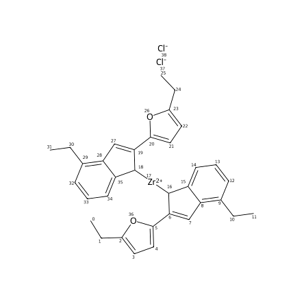 CCc1ccc(C2=Cc3c(CC)cccc3[CH]2[Zr+2][CH]2C(c3ccc(CC)o3)=Cc3c(CC)cccc32)o1.[Cl-].[Cl-]